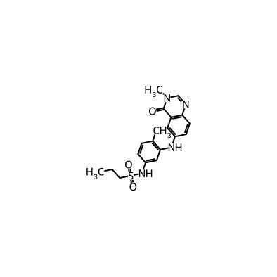 CCCS(=O)(=O)Nc1ccc(C)c(Nc2ccc3ncn(C)c(=O)c3c2)c1